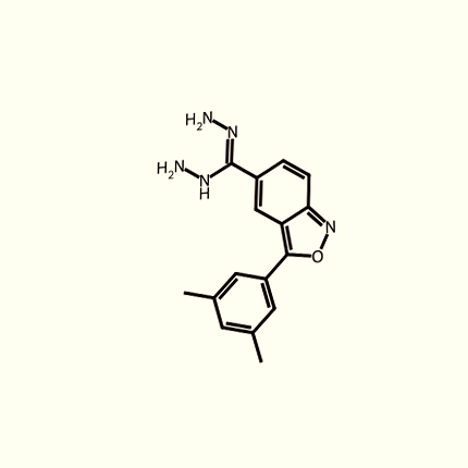 Cc1cc(C)cc(-c2onc3ccc(/C(=N/N)NN)cc23)c1